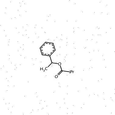 CC(C)C(=O)OC(C)c1ccccc1